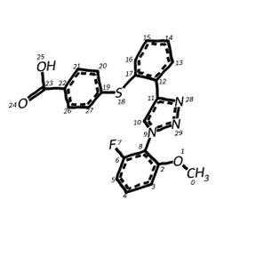 COc1cccc(F)c1-n1cc(-c2ccccc2Sc2ccc(C(=O)O)cc2)nn1